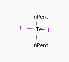 CCCCC[Te](I)(I)CCCCC